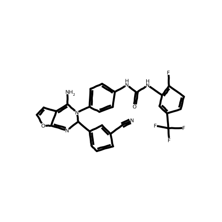 N#Cc1cccc(C2N=c3occc3=C(N)N2c2ccc(NC(=O)Nc3cc(C(F)(F)F)ccc3F)cc2)c1